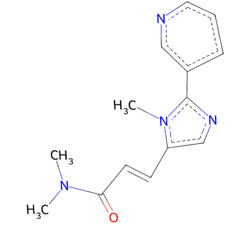 CN(C)C(=O)C=Cc1cnc(-c2cccnc2)n1C